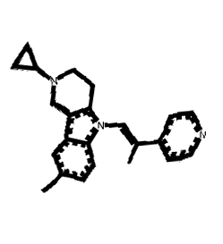 C/C(=C\n1c2c(c3cc(C)ccc31)CN(C1CC1)CC2)c1ccncc1